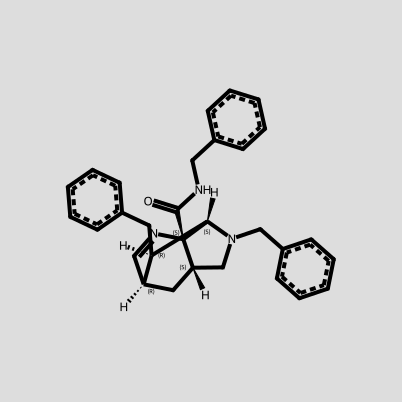 O=C(NCc1ccccc1)[C@]12N=C[C@@H]3C[C@H]1CN(Cc1ccccc1)[C@H]2[C@@H]3Cc1ccccc1